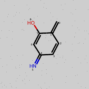 C=C1C=CC(=N)C=C1O